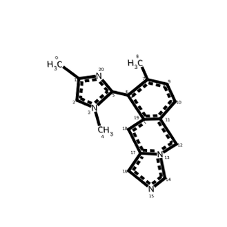 Cc1cn(C)c(-c2c(C)ccc3cn4cncc4cc23)n1